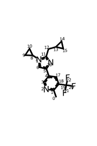 Cc1ncc(-c2cn(C3CC3)c(CC3CC3)n2)cc1C(F)(F)F